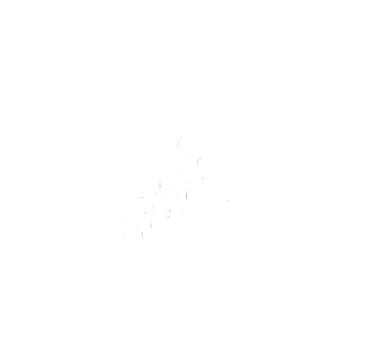 FC(F)(F)C(F)(COCCCl)OC(F)(F)C(F)(OC(F)(F)C(F)(F)C(F)(F)F)C(F)(F)F